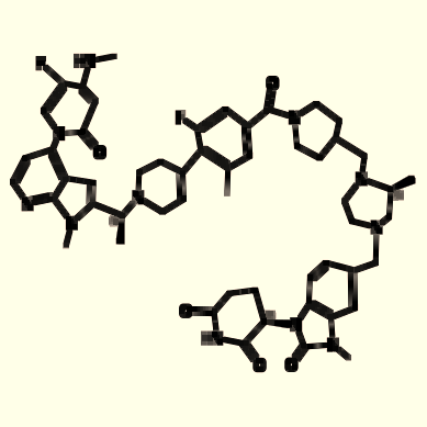 CNc1cc(=O)n(-c2ccnc3c2cc([C@H](C)N2CC=C(c4c(C)cc(C(=O)N5CCC(CN6CCN(Cc7ccc8c(c7)n(C)c(=O)n8[C@@H]7CCC(=O)NC7=O)C[C@@H]6C)CC5)cc4F)CC2)n3C)cc1F